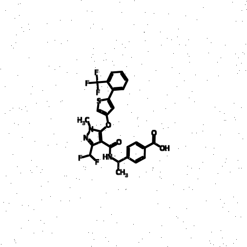 CC(NC(=O)c1c(C(F)F)nn(C)c1Oc1csc(-c2ccccc2C(F)(F)F)c1)c1ccc(C(=O)O)cc1